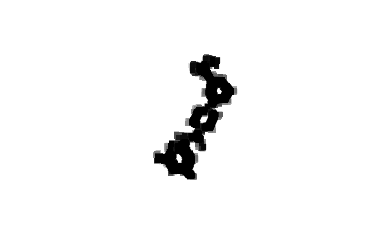 Cc1cc(C)nc(NC(=S)N2CCN(c3cccc(C(=O)O)c3)CC2)c1